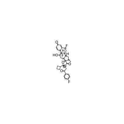 C[C@@H]1C[C@H]2[C@@H]3C[C@H](F)C4=CC(=O)C=C[C@]4(C)[C@@]3(F)[C@@H](O)C[C@]2(C)[C@@]1(OC(=O)C1CCC1)C(=O)OCC(=O)c1ccc(F)cc1